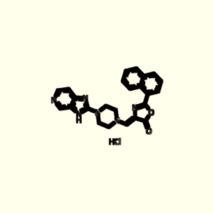 Cl.O=C1OC(c2cccc3ccccc23)=NC1=CN1CCN(c2nc3ccncc3[nH]2)CC1